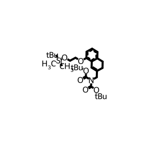 CC(C)(C)OC(=O)N(CC1=Cc2c(cccc2OCCO[Si](C)(C)C(C)(C)C)CC1)C(=O)OC(C)(C)C